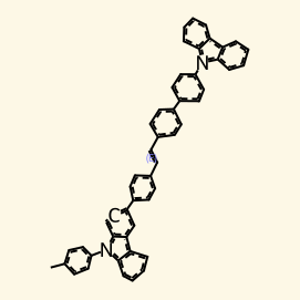 Cc1ccc(-n2c3ccccc3c3cc(-c4ccc(/C=C/c5ccc(-c6ccc(-n7c8ccccc8c8ccccc87)cc6)cc5)cc4)ccc32)cc1